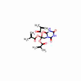 C=C(C)C(=O)OC(Cn1c(=O)[nH]c(=O)[nH]c1=O)(OC(=O)C(=C)C)OC(=O)C(=C)C